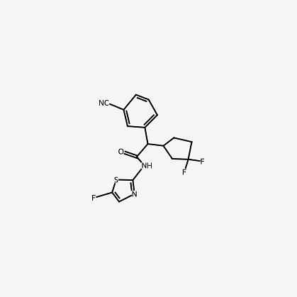 N#Cc1cccc(C(C(=O)Nc2ncc(F)s2)C2CCC(F)(F)C2)c1